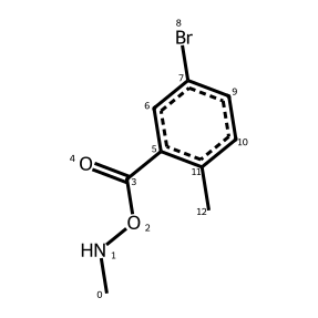 CNOC(=O)c1cc(Br)ccc1C